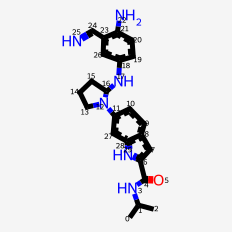 CC(C)NC(=O)c1cc2ccc(N3CCCC3Nc3ccc(N)c(C=N)c3)cc2[nH]1